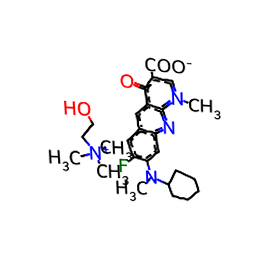 CN(c1cc2nc3c(cc2cc1F)c(=O)c(C(=O)[O-])cn3C)C1CCCCC1.C[N+](C)(C)CCO